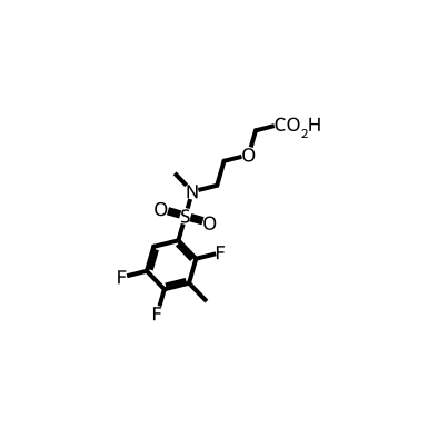 Cc1c(F)c(F)cc(S(=O)(=O)N(C)CCOCC(=O)O)c1F